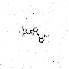 COc1ccccc1C#Cc1cncc2cc(/C=C3\SC(=S)NC3=O)oc12